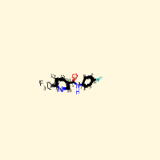 O=C(Nc1ccc(F)cc1)c1ccc(C(F)(F)F)nc1